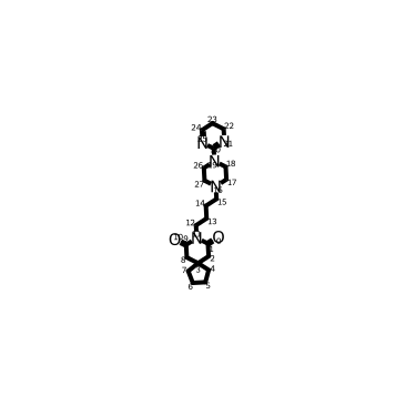 O=C1CC2(CCCC2)CC(=O)N1CCCCN1CCN(C2=NCCC=N2)CC1